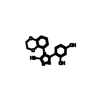 Oc1ccc(-c2nnc(S)n2-c2cccc3c2OCCO3)c(O)c1